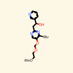 COCCOCOc1cnc(CC(O)c2cccnc2)nc1C(C)(C)C